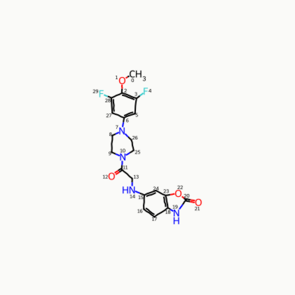 COc1c(F)cc(N2CCN(C(=O)CNc3ccc4[nH]c(=O)oc4c3)CC2)cc1F